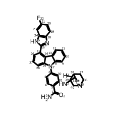 NC(=O)c1ccc(-n2c3ccccc3c3c(-c4nc5ccc(F)cc5[nH]4)cccc32)cc1N[C@H]1CN2CCC1CC2